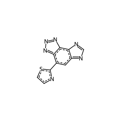 C1=Nc2c3c(c(-c4nccs4)cc2=N1)=NN=N3